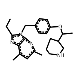 CCc1nc2c(C)cc(C)nc2n1Cc1ccc(OC(C)C2CCCNC2)cc1